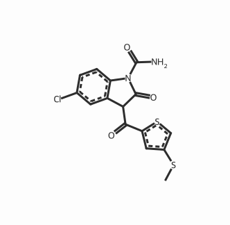 CSc1csc(C(=O)C2C(=O)N(C(N)=O)c3ccc(Cl)cc32)c1